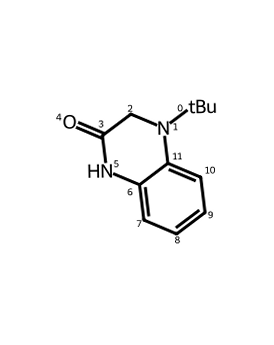 CC(C)(C)N1CC(=O)Nc2ccccc21